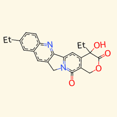 CCc1ccc2nc3c(cc2c1)Cn1c-3cc2c(c1=O)COC(=O)C2(O)CC